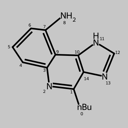 CCCCc1nc2cccc(N)c2c2[nH]cnc12